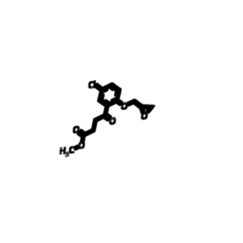 COC(=O)CCC(=O)c1cc(Cl)ccc1OCC1CO1